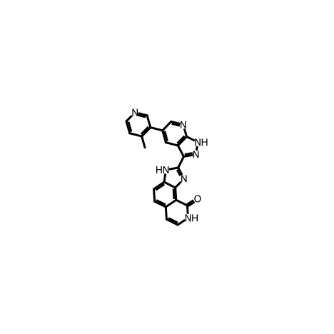 Cc1ccncc1-c1cnc2[nH]nc(-c3nc4c(ccc5cc[nH]c(=O)c54)[nH]3)c2c1